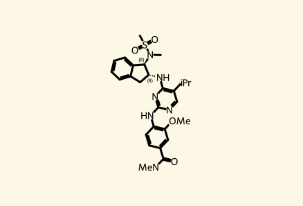 CNC(=O)c1ccc(Nc2ncc(C(C)C)c(N[C@@H]3Cc4ccccc4[C@H]3N(C)S(C)(=O)=O)n2)c(OC)c1